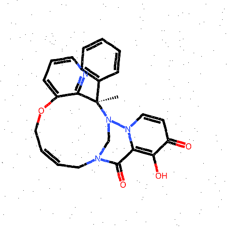 C[C@@]1(c2ccccc2)c2ncccc2OC/C=C\CN2CN1n1ccc(=O)c(O)c1C2=O